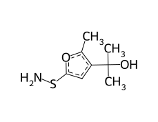 Cc1oc(SN)cc1C(C)(C)O